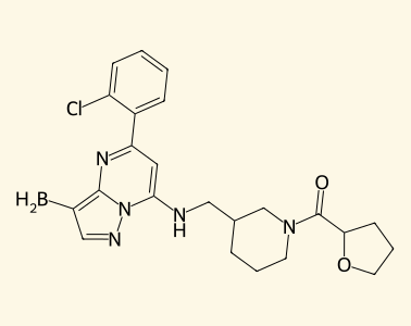 Bc1cnn2c(NCC3CCCN(C(=O)C4CCCO4)C3)cc(-c3ccccc3Cl)nc12